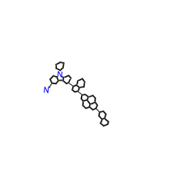 N#Cc1ccc2c(c1)c1cc(-c3ccc(-c4cc5ccc6cc(-c7ccc8ccccc8c7)cc7ccc(c4)c5c67)c4ccccc34)ccc1n2-c1ccccc1